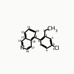 CCc1cc(Cl)ccc1-c1cccc2cnccc12